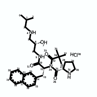 CC(C)CNC[C@H](O)CNC(=O)[C@@H](Cc1ccc2ccccc2c1)N(C(=O)[C@@H]1CCCN1)C(=O)C(C)(C)C.Cl